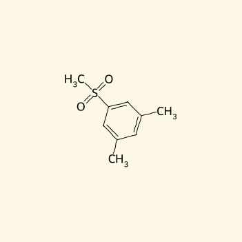 Cc1cc(C)cc(S(C)(=O)=O)c1